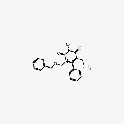 CCc1c(-c2ccccc2)n(COCc2ccccc2)c(=O)n(O)c1=O